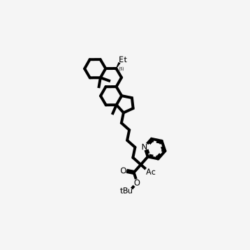 CC[C@@H](CC1CCCC2(C)C(CCCCCC(C(C)=O)(C(=O)OC(C)(C)C)c3ccccn3)CCC12)C1CCCCC1(C)C